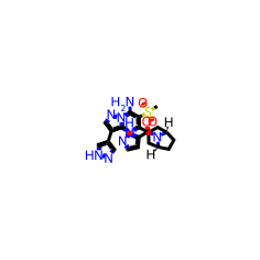 CS(=O)(=O)c1c(C2C[C@H]3CC[C@@H](C2)N3C(=O)c2ccn[nH]2)nc2c(-c3cn[nH]c3)cnn2c1N